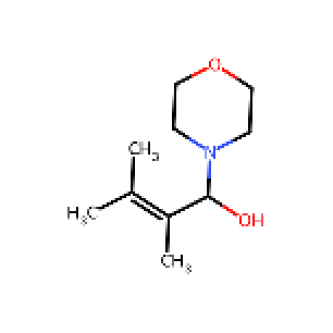 CC(C)=C(C)C(O)N1CCOCC1